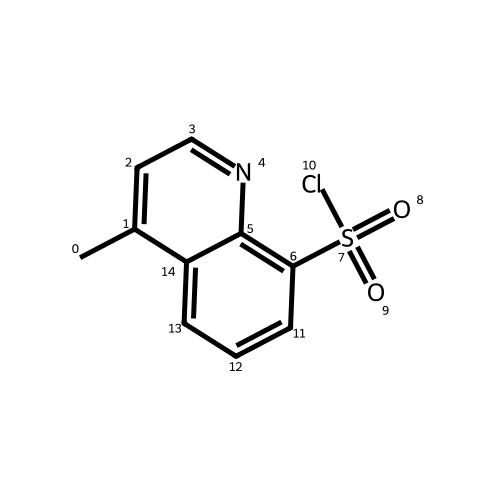 Cc1ccnc2c(S(=O)(=O)Cl)cccc12